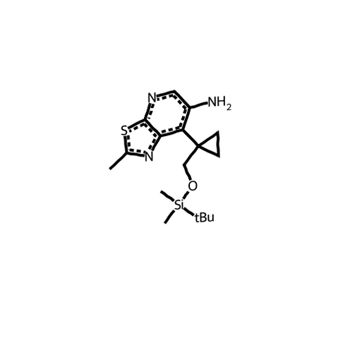 Cc1nc2c(C3(CO[Si](C)(C)C(C)(C)C)CC3)c(N)cnc2s1